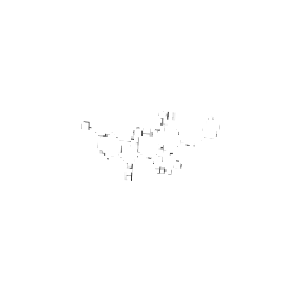 CC(C)(C)C(NC(=O)C(CC1CCCC1)CN(O)C=O)c1nc2cc(Cl)ccc2[nH]1